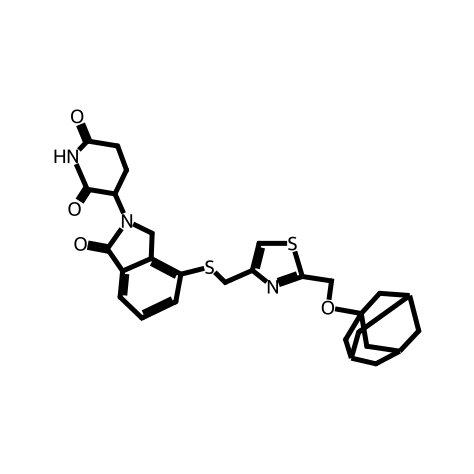 O=C1CCC(N2Cc3c(SCc4csc(COC56CC7CC(CC(C7)C5)C6)n4)cccc3C2=O)C(=O)N1